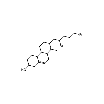 CC(C)CCCC(S)CC1CCC2C3CCC(O)CC3=CCC2N1C